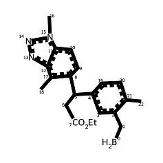 BCc1cc(C(CC(=O)OCC)c2ccc3c(nnn3C)c2C)ccc1C